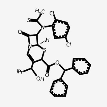 CC(=S)N(c1cc(Cl)ccc1Cl)C1C(=O)N2C=C(C(O)C(C)C)C(C(=O)OC(c3ccccc3)c3ccccc3)S[C@H]12